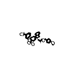 COC(=O)C1(Oc2cccc(Cl)c2)CCC2(CC1)c1ccccc1C[C@@H]2C[C@@H](C)COCc1ccc(OC)cc1